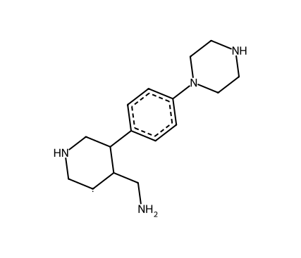 NCC1[CH]CNCC1c1ccc(N2CCNCC2)cc1